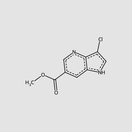 COC(=O)c1cnc2c(Cl)c[nH]c2c1